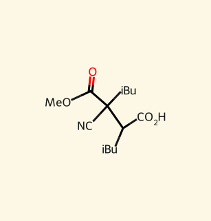 CCC(C)C(C(=O)O)C(C#N)(C(=O)OC)C(C)CC